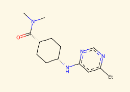 CCc1cc(N[C@H]2CC[C@@H](C(=O)N(C)C)CC2)ncn1